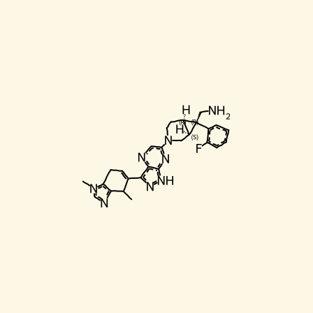 CC1C(c2n[nH]c3nc(N4CC[C@@H]5[C@H](C4)[C@@]5(CN)c4ccccc4F)cnc23)=CCc2c1ncn2C